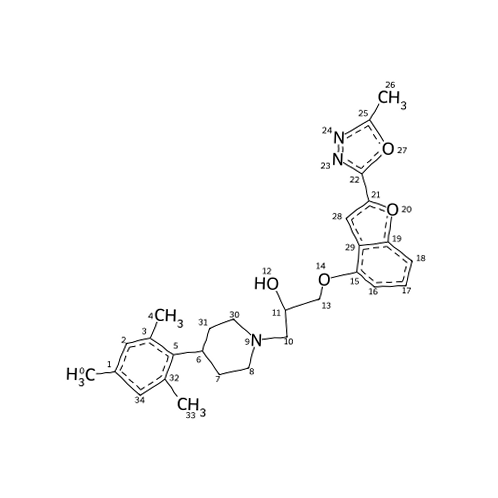 Cc1cc(C)c(C2CCN(CC(O)COc3cccc4oc(-c5nnc(C)o5)cc34)CC2)c(C)c1